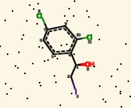 O[C@@H](CI)c1ccc(Cl)cc1Cl